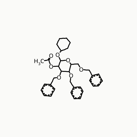 CC(=O)OC1C(OC2CCCCC2)OC(COCc2ccccc2)C(OCc2ccccc2)C1OCc1ccccc1